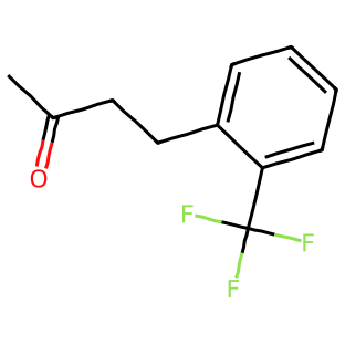 CC(=O)CCc1ccccc1C(F)(F)F